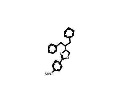 COc1ccc(C2=N[C@@H]([C](Cc3ccccc3)Cc3ccccc3)CO2)cc1